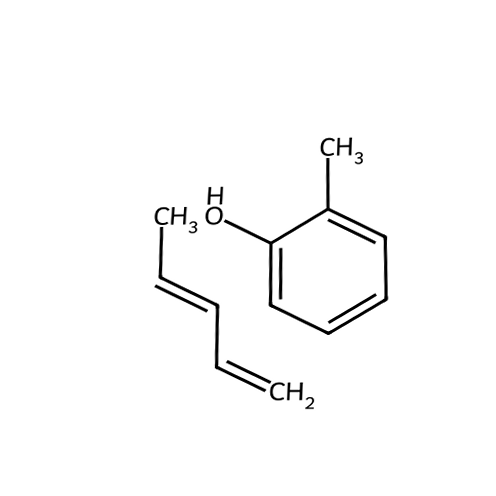 C=CC=CC.Cc1ccccc1O